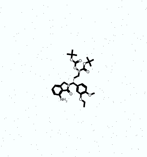 CCOc1cc([C@@H](CCN(OC(=O)OC(C)(C)C)C(=O)OC(C)(C)C)N2Cc3cccc(N)c3C2=O)ccc1OC